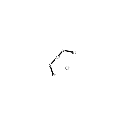 CC[S][Al+][S]CC.[Cl-]